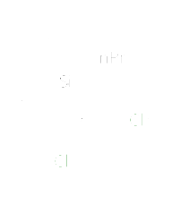 CCC[Si](C)(C)C(Cl)Cl